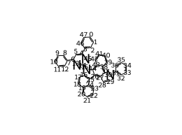 c1ccc(-c2cc(-c3ccccc3)nc(-n3c4ccc5ccccc5c4c4c5ccn(-c6ccccc6)c5c5ccccc5c43)n2)cc1